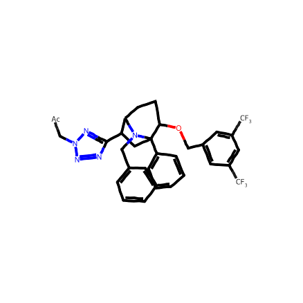 CC(=O)Cn1nnc(C2CC3(c4ccccc4)C(OCc4cc(C(F)(F)F)cc(C(F)(F)F)c4)CCC2N3Cc2ccccc2)n1